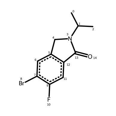 CC(C)N1Cc2cc(Br)c(F)cc2C1=O